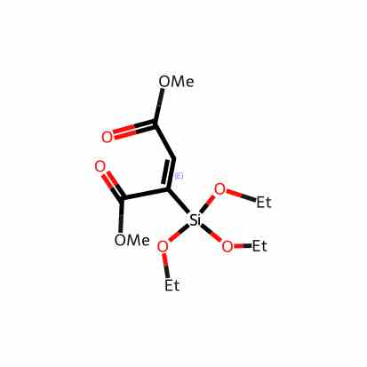 CCO[Si](OCC)(OCC)/C(=C/C(=O)OC)C(=O)OC